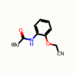 CC(C)(C)C(=O)Nc1ccccc1OCC#N